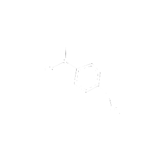 CN(N)c1ccc(OC(F)(F)F)cc1